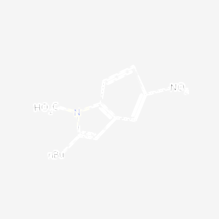 CCCCc1cc2cc([N+](=O)[O-])ccc2n1C(=O)O